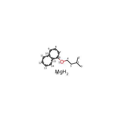 CC(C)CCOc1cccc2ccccc12.[MgH2]